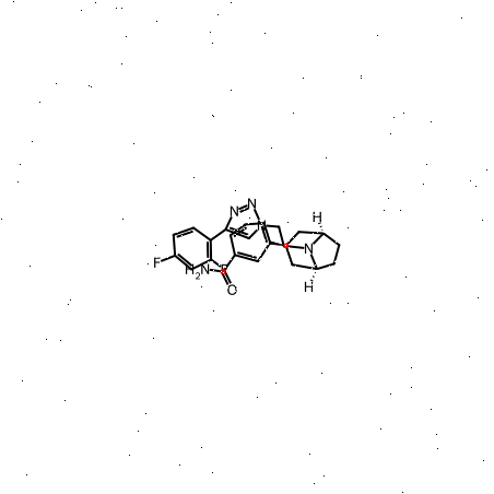 NC(=O)c1cccc([C@H]2C[C@H]3CC[C@@H](C2)N3CCn2cc(-c3ccc(F)cc3F)nn2)c1